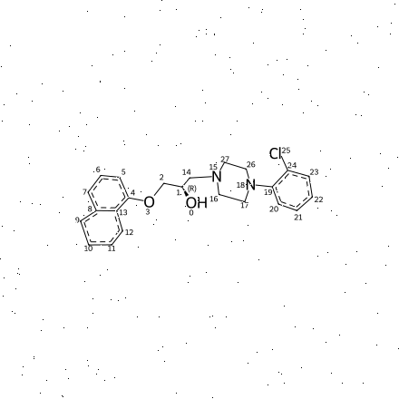 O[C@@H](COc1cccc2ccccc12)CN1CCN(c2ccccc2Cl)CC1